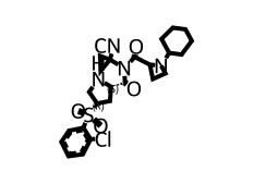 N#CC1(N(C(=O)C2CCN2C2CCCCC2)C(=O)[C@@H]2C[C@@H](S(=O)(=O)c3ccccc3Cl)CN2)CC1